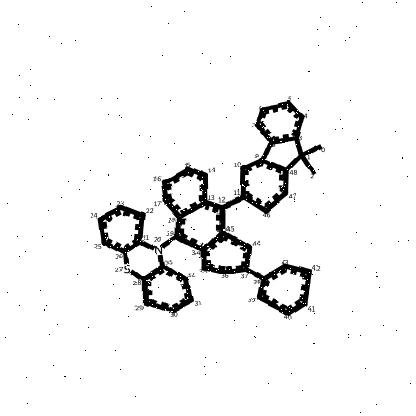 CC1(C)c2ccccc2-c2cc(-c3c4ccccc4c(N4c5ccccc5Sc5ccccc54)c4ccc(-c5ccccc5)cc34)ccc21